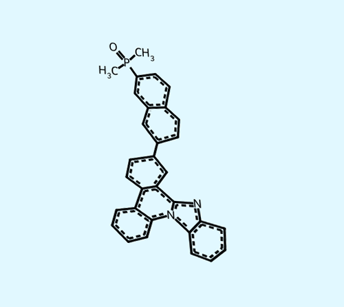 CP(C)(=O)c1ccc2ccc(-c3ccc4c5ccccc5n5c6ccccc6nc5c4c3)cc2c1